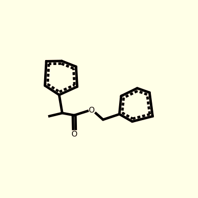 CC(C(=O)OCc1ccccc1)c1ccccc1